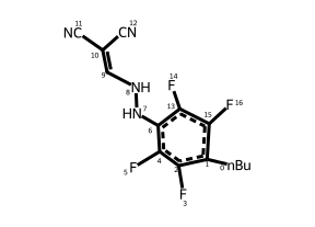 CCCCc1c(F)c(F)c(NNC=C(C#N)C#N)c(F)c1F